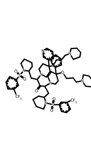 O=C(C(CC1CCCCN1S(=O)(=O)c1cccc(C(F)(F)F)c1)N1CCC(OCCCN2CCCCC2)(c2cccnc2)CC1)C(CC1CCCCN1S(=O)(=O)c1cccc(C(F)(F)F)c1)N1CCC(OCCCN2CCCCC2)(c2cccnc2)CC1